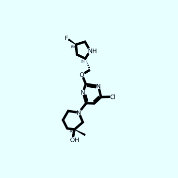 C[C@@]1(O)CCCN(c2cc(Cl)nc(OC[C@@H]3C[C@@H](F)CN3)n2)C1